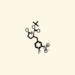 CC(C)(C)OC(=O)N1C(=O)CCC1Cc1ccc(F)c([N+](=O)[O-])c1